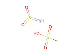 CS(=O)(=O)O.N=S(=O)=O